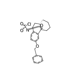 O=S(=O)(Cl)N=C1C[C@]23CCCC[C@]2(CCc2ccc(OCc4ccccc4)cc23)O1